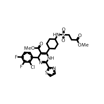 COC(=O)CCS(=O)(=O)NC1CCC(C2=C(C(=O)OC)C(c3ccc(F)c(F)c3Cl)N=C(c3nccs3)N2)CC1